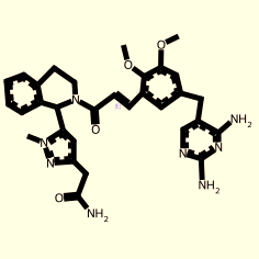 COc1cc(Cc2cnc(N)nc2N)cc(/C=C/C(=O)N2CCc3ccccc3C2c2cc(CC(N)=O)nn2C)c1OC